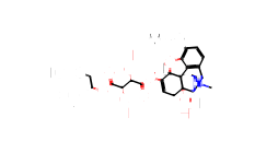 COc1ccc2c3c1O[C@@H]1C(OC(=O)[C@H](O)[C@@H](O)C(=O)O[C@@H](CC(=O)O)C(=O)O)=CC[C@]4(O)[C@H](C2)N(C)CC[C@@]314